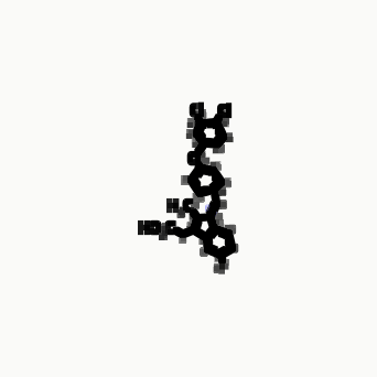 CC1=C(CC(=O)O)c2cc(F)ccc2/C1=C/c1ccc(Oc2ccc(Cl)c(Cl)c2)cc1